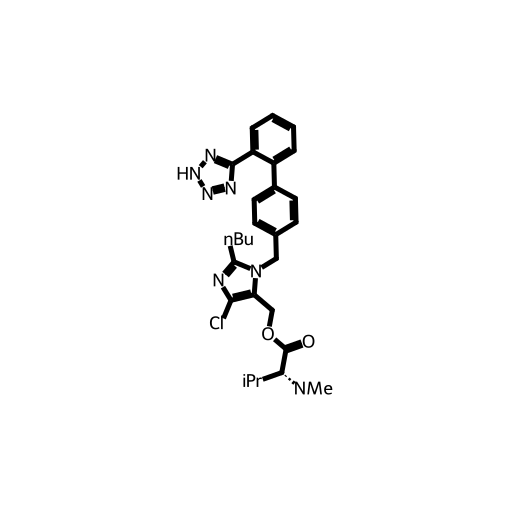 CCCCc1nc(Cl)c(COC(=O)[C@H](NC)C(C)C)n1Cc1ccc(-c2ccccc2-c2nn[nH]n2)cc1